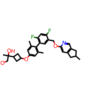 Cc1cc(OC2CC(C(C)(O)CO)C2)cc(C)c1-c1cc(COc2cc3c(cn2)CC(C)C3)c(F)cc1F